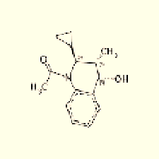 CC(=O)N1c2ccccc2[C@@H](O)[C@@H](C)[C@@H]1C1CC1